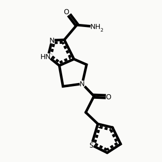 NC(=O)c1n[nH]c2c1CN(C(=O)Cc1cccs1)C2